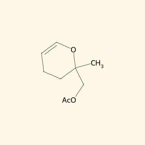 CC(=O)OCC1(C)CCC=CO1